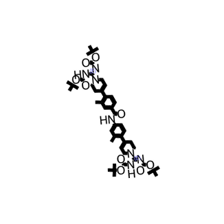 Cc1cc(NC(=O)c2ccc(C3=CCN(/C(=N/C(=O)OC(C)(C)C)NC(=O)OC(C)(C)C)CC3)c(C)c2)ccc1C1=CCN(/C(=N/C(=O)OC(C)(C)C)NC(=O)OC(C)(C)C)CC1